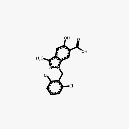 Cc1nn(Cc2c(Cl)cccc2Cl)c2cc(C(=O)O)c(O)cc12